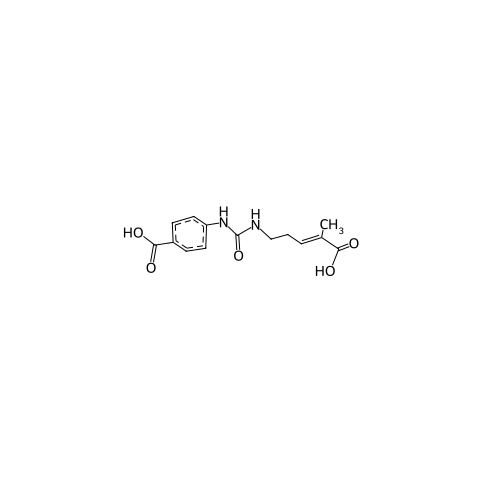 C/C(=C\CCNC(=O)Nc1ccc(C(=O)O)cc1)C(=O)O